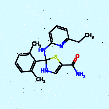 CCc1cccc(NC2(c3c(C)cccc3C)NC=C(C(N)=O)S2)n1